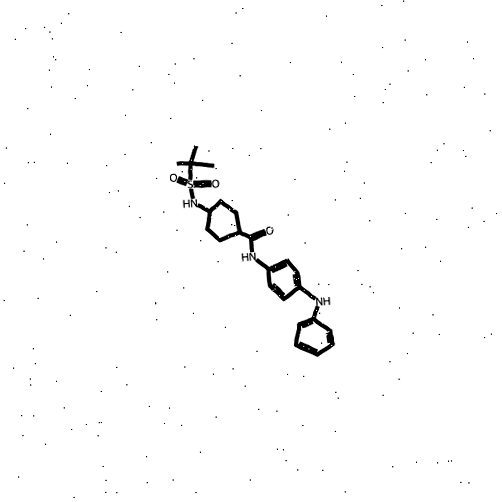 CC(C)(C)S(=O)(=O)NC1CCC(C(=O)Nc2ccc(Nc3ccccc3)cc2)CC1